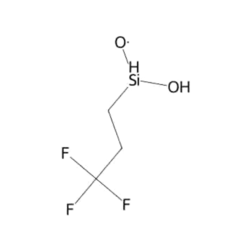 [O][SiH](O)CCC(F)(F)F